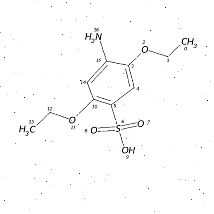 CCOc1cc(S(=O)(=O)O)c(OCC)cc1N